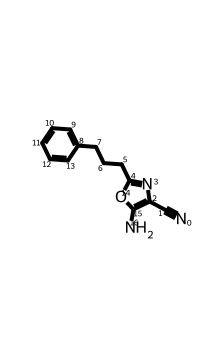 N#Cc1nc(CCCc2ccccc2)oc1N